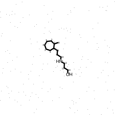 CC1CCCCCC1CCCNCCCO